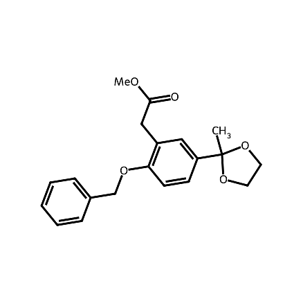 COC(=O)Cc1cc(C2(C)OCCO2)ccc1OCc1ccccc1